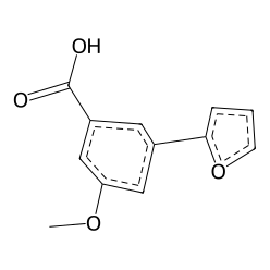 COc1cc(C(=O)O)cc(-c2ccco2)c1